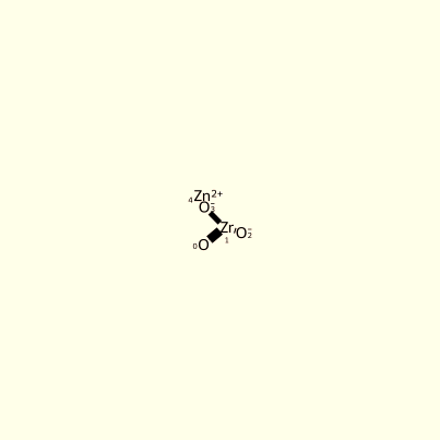 [O]=[Zr]([O-])[O-].[Zn+2]